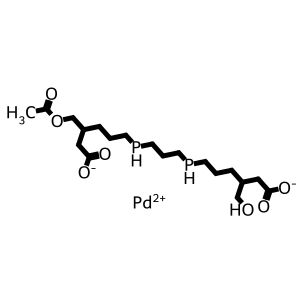 CC(=O)OCC(CCCPCCCPCCCC(CO)CC(=O)[O-])CC(=O)[O-].[Pd+2]